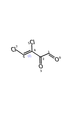 O=CC(=O)/C(Cl)=C/Cl